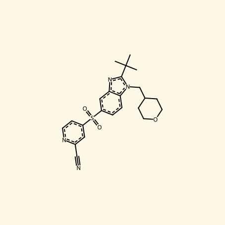 CC(C)(C)c1nc2cc(S(=O)(=O)c3ccnc(C#N)c3)ccc2n1CC1CCOCC1